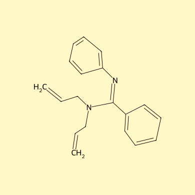 C=CCN(CC=C)C(=Nc1ccccc1)c1ccccc1